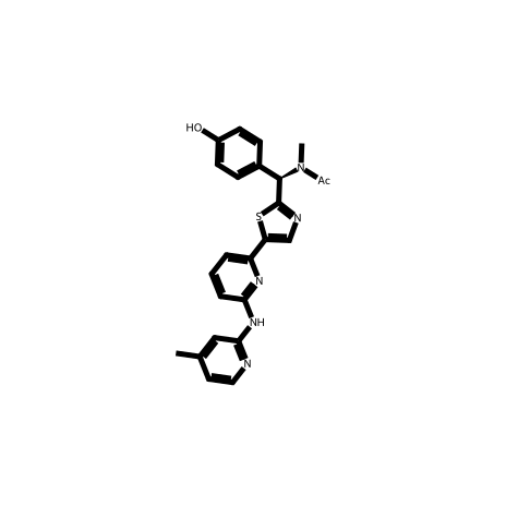 CC(=O)N(C)[C@H](c1ccc(O)cc1)c1ncc(-c2cccc(Nc3cc(C)ccn3)n2)s1